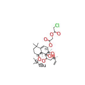 C=C[C@@]1(C)CC(=O)[C@@]2(O)[C@](C)(O1)[C@@H](OC(=O)COC(=O)CCl)C=C1C(C)(C)CC[C@H](O[Si](C)(C)C(C)(C)C)[C@@]12C